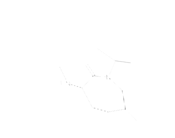 CNC1CCC(C)CN(C(C)C)C1=O